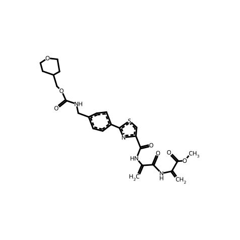 C=C(NC(=O)c1csc(-c2ccc(CNC(=O)OCC3CCOCC3)cc2)n1)C(=O)NC(=C)C(=O)OC